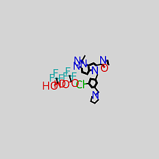 Cc1nnc2ccc3c(cc(-c4ncco4)n3Cc3cc(Cl)cc(CN4CCCC4)c3)n12.O=C(O)C(F)(F)F.O=C(O)C(F)(F)F